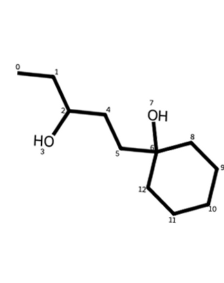 CCC(O)CCC1(O)CCCCC1